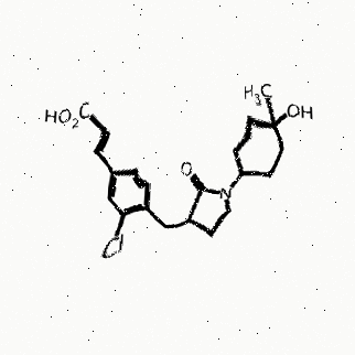 CC1(O)CCC(N2CCC(Cc3ccc(C=CC(=O)O)cc3Cl)C2=O)CC1